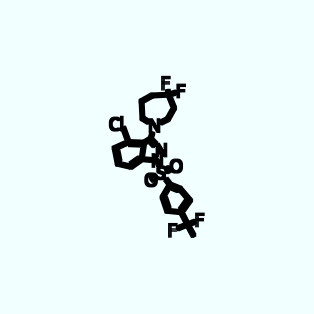 CC(F)(F)c1ccc(S(=O)(=O)n2nc(N3CCCC(F)(F)CC3)c3c(Cl)cccc32)cc1